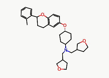 Cc1ccccc1C1CCc2cc(O[C@H]3CC[C@H](N(CC4CCOC4)CC4CCOC4)CC3)ccc2O1